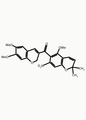 COc1cc2c(cc1OC)OCC(C(=O)c1c([N+](=O)[O-])cc3c(c1OC)C=CC(C)(C)O3)=C2